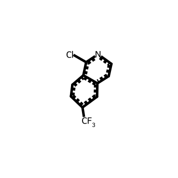 FC(F)(F)c1ccc2c(Cl)nccc2c1